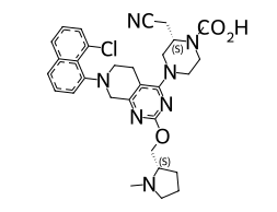 CN1CCC[C@H]1COc1nc2c(c(N3CCN(C(=O)O)[C@@H](CC#N)C3)n1)CCN(c1cccc3cccc(Cl)c13)C2